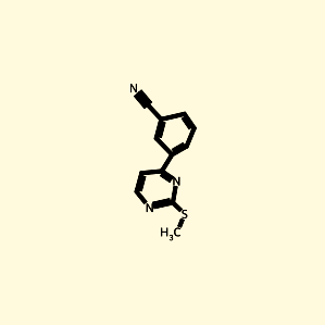 CSc1nccc(-c2cccc(C#N)c2)n1